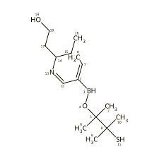 C/C=C(BOC(C)(C)C(C)(C)S)\C=N/C(CC)CCO